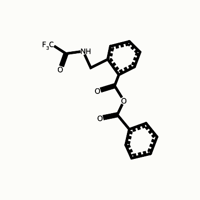 O=C(OC(=O)c1ccccc1CNC(=O)C(F)(F)F)c1ccccc1